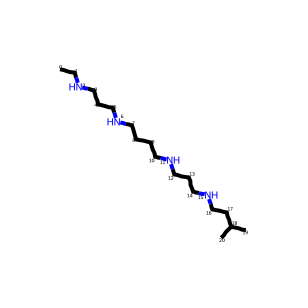 CCNCCCNCCCCNCCCNCCC(C)C